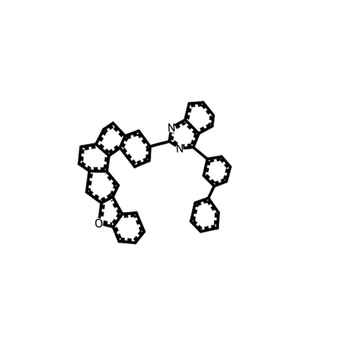 c1ccc(-c2cccc(-c3nc(-c4ccc5c(ccc6ccc7cc8oc9ccccc9c8cc7c65)c4)nc4ccccc34)c2)cc1